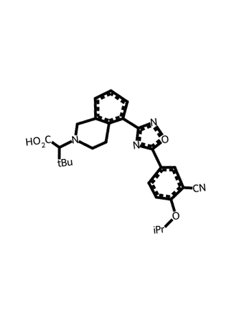 CC(C)Oc1ccc(-c2nc(-c3cccc4c3CCN(C(C(=O)O)C(C)(C)C)C4)no2)cc1C#N